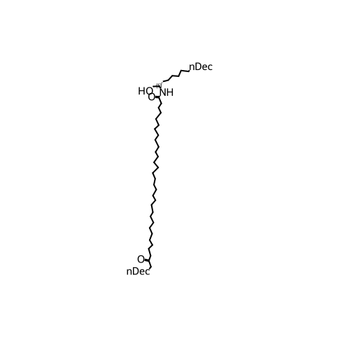 CCCCCCCCCCCCCCCC[C@@H](CO)NC(=O)CCCCCCCCCCCCCCCCCCCCCCCCCCCCCC(=O)CCCCCCCCCCC